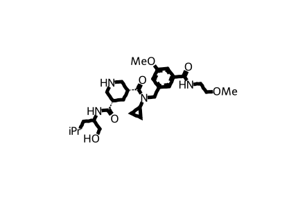 COCCNC(=O)c1cc(CN(C(=O)[C@H]2CNC[C@@H](C(=O)NC(CO)CC(C)C)C2)C2CC2)cc(OC)c1